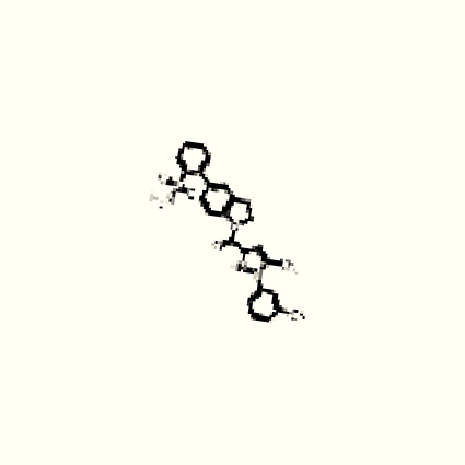 N#Cc1cccc(N2NC(C(=O)N3CCc4cc(-c5ccccc5S(N)(=O)=O)ccc43)C=C2C(F)(F)F)c1